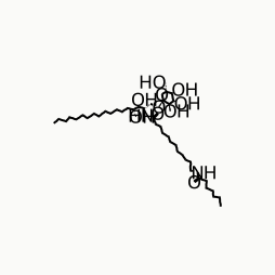 CCCCCCCCCCCCCC[C@@H](O)[C@@H](O)[C@H](CO[C@H]1O[C@H](CO)[C@H](O)[C@H](O)[C@H]1O)NC(=O)CCCCCCCCCCCNC(=O)CCCCCC